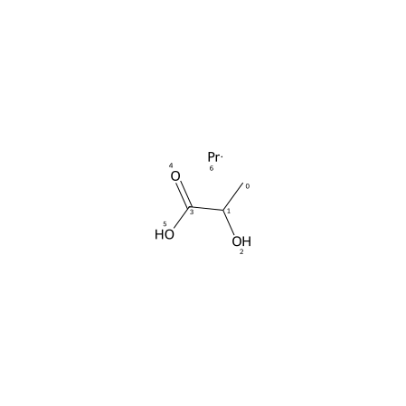 CC(O)C(=O)O.[Pr]